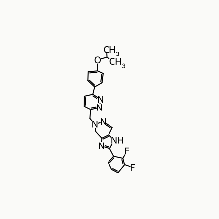 CC(C)Oc1ccc(-c2ccc(CN3Cc4nc(-c5cccc(F)c5F)[nH]c4C=N3)nn2)cc1